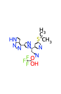 CC(C)Sc1cncc(C(CC#N)n2cc(-c3ncnc4[nH]ccc34)cn2)c1.O=C(O)C(F)(F)F